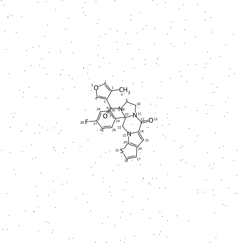 Cc1cocc1C(=O)N1CCN2C(=O)c3cc4ccsc4n3CC12c1ccc(F)cc1